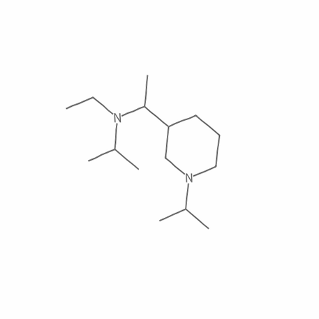 CCN(C(C)C)C(C)C1CCCN(C(C)C)C1